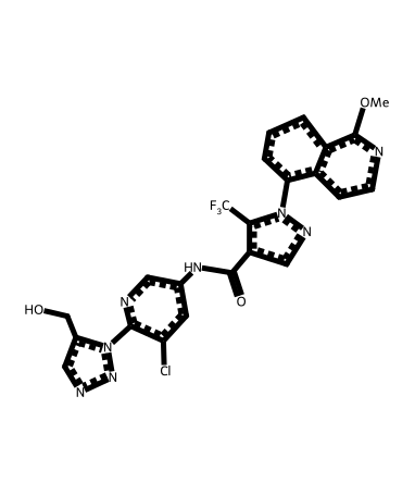 COc1nccc2c(-n3ncc(C(=O)Nc4cnc(-n5nncc5CO)c(Cl)c4)c3C(F)(F)F)cccc12